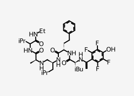 C=C(N[C@H](C(=O)N[C@@H](CCc1ccccc1)C(=O)N[C@H](CN[C@@H](C)C(=O)NC(C(=O)NCC)C(C)C)CC(C)C)[C@@H](C)CC)c1c(F)c(F)c(O)c(F)c1F